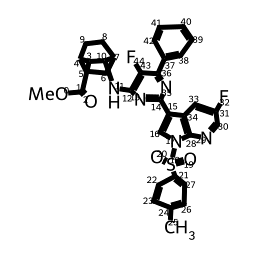 COC(=O)C1C2CCC(CC2)C1Nc1nc(-c2cn(S(=O)(=O)c3ccc(C)cc3)c3ncc(F)cc23)nc(-c2ccccc2)c1F